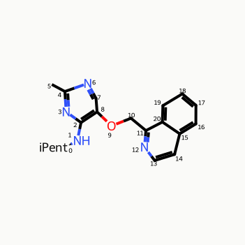 CCC[C@@H](C)Nc1nc(C)ncc1OCc1nccc2ccccc12